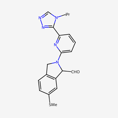 CSc1ccc2c(c1)C(C=O)N(c1cccc(-c3nncn3C(C)C)n1)C2